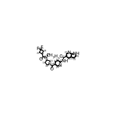 C[C@H](Nc1ccc(C(=O)N2CC[C@H](N(C)C(=O)C3CC(F)(F)C3)C2)cn1)c1cnc2[nH]ccc2c1